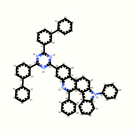 c1ccc(-c2cccc(-c3nc(-c4cccc(-c5ccccc5)c4)nc(-c4ccc5c(c4)nc(-c4ccccc4)c4c5ccc5c4c4ccccc4n5-c4ccccc4)n3)c2)cc1